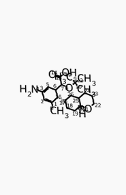 CC1=CC(N)=CC(C(OC(C)(C)C)C(=O)O)C1[C@H]1CC[C@H]2OCCCC2C1